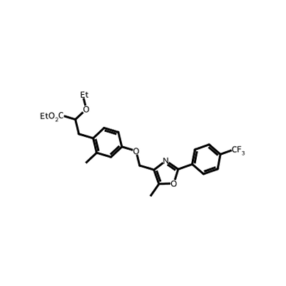 CCOC(=O)C(Cc1ccc(OCc2nc(-c3ccc(C(F)(F)F)cc3)oc2C)cc1C)OCC